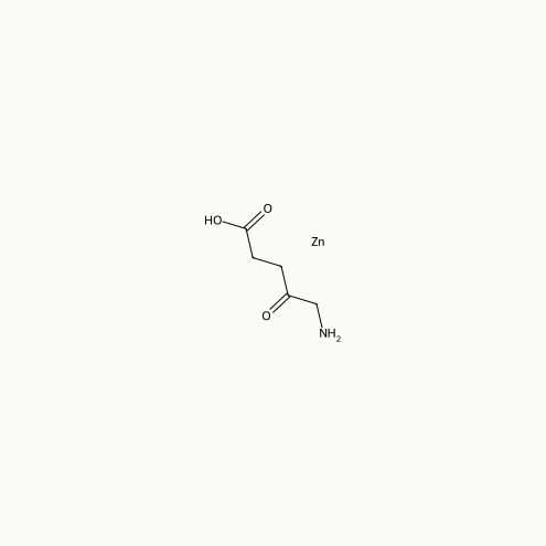 NCC(=O)CCC(=O)O.[Zn]